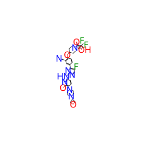 COc1nc(Nc2ncc(F)c(-c3ccc(OC4CCN(C(=O)[C@H](O)C(F)F)CC4)c(C#N)c3)n2)ccc1N1CCN(C2COC2)CC1